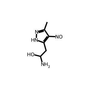 Cc1n[nH]c(CC(N)O)c1N=O